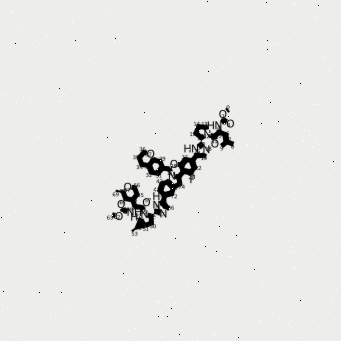 COC(=O)NC(C=C(C)C)C(=O)N1CCC[C@H]1C1=NCC(c2cc(F)c3c(c2)OC(C2=CC=C4CCCOC4C2)N2c4ccc(-c5cnc([C@@H]6CC7[C@@H](C)[C@H]7N6C(=O)C(NC(=O)OC)C6CCO[C@H](C)C6)[nH]5)cc4CC32)N1